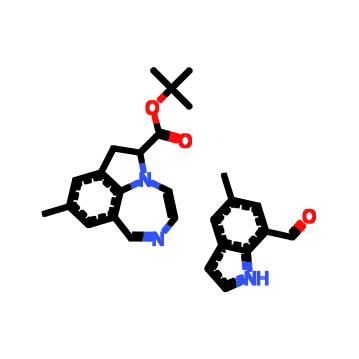 Cc1cc(C=O)c2[nH]ccc2c1.Cc1cc2c3c(c1)CC(C(=O)OC(C)(C)C)N3C=CN=C2